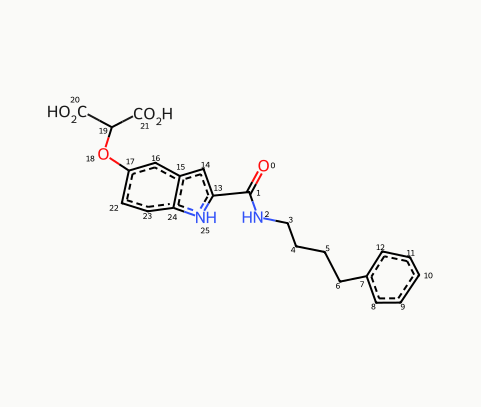 O=C(NCCCCc1ccccc1)c1cc2cc(OC(C(=O)O)C(=O)O)ccc2[nH]1